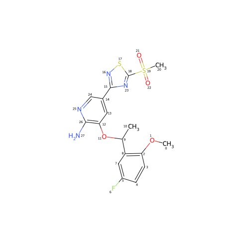 COc1ccc(F)cc1C(C)Oc1cc(-c2nsc(S(C)(=O)=O)n2)cnc1N